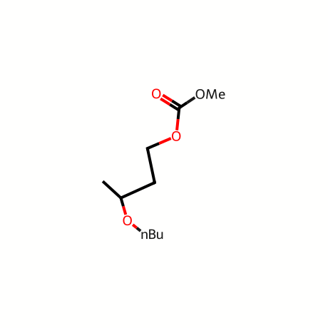 CCCCOC(C)CCOC(=O)OC